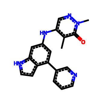 Cc1c(Nc2cc(-c3cccnc3)c3cc[nH]c3c2)cnn(C)c1=O